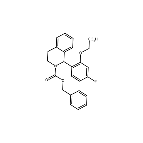 O=C(O)COc1cc(F)ccc1C1c2ccccc2CCN1C(=O)OCc1ccccc1